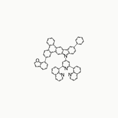 c1ccc(-c2ccc3c(c2)c2cc4c5ccccc5c5ccc(-c6cccc7ccoc67)cc5c4cc2n3-c2cc(-c3cccc4cccnc34)nc(-c3cccc4cccnc34)c2)cc1